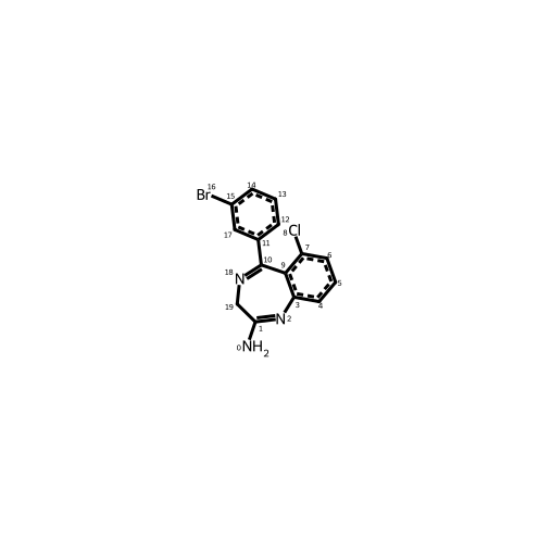 NC1=Nc2cccc(Cl)c2C(c2cccc(Br)c2)=NC1